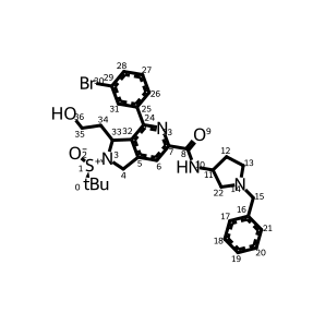 CC(C)(C)[S@@+]([O-])N1Cc2cc(C(=O)NC3CCN(Cc4ccccc4)C3)nc(-c3cccc(Br)c3)c2C1CCO